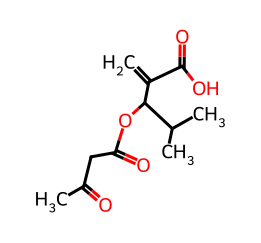 C=C(C(=O)O)C(OC(=O)CC(C)=O)C(C)C